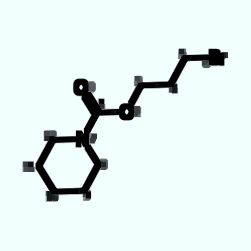 O=C(OCCCBr)N1CCCCC1